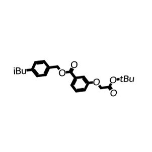 CCC(C)c1ccc(COC(=O)c2cccc(OCC(=O)OC(C)(C)C)c2)cc1